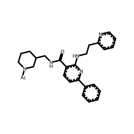 CC(=O)N1CCCC(CNC(=O)c2ccc(-c3ccccc3)nc2NCCc2ccccn2)C1